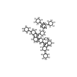 N#Cc1c(-c2ccc(-c3nc(-c4ccccc4)nc(-c4ccccc4)n3)cc2-n2c3ccccc3c3cc(-c4ccccc4)ccc32)cccc1-n1c2ccccc2c2cc(-c3ccccc3)ccc21